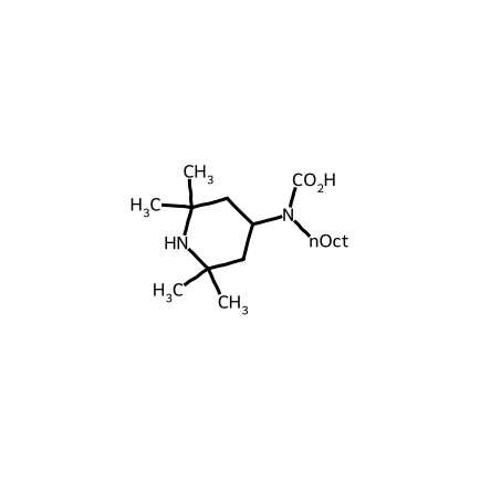 CCCCCCCCN(C(=O)O)C1CC(C)(C)NC(C)(C)C1